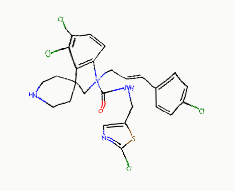 O=C(NCc1cnc(Cl)s1)[N+]1(C/C=C/c2ccc(Cl)cc2)CC2(CCNCC2)c2c1ccc(Cl)c2Cl